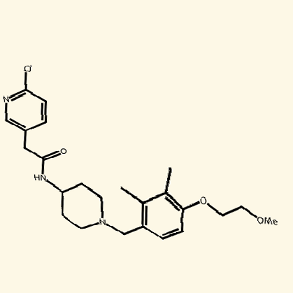 COCCOc1ccc(CN2CCC(NC(=O)Cc3ccc(Cl)nc3)CC2)c(C)c1C